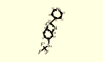 FC(F)(F)Sc1ccc2oc(-c3ccncc3)nc2c1